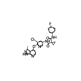 Cc1n[nH]c2nccc(Oc3ncc(NC(=O)C4(C(=O)Nc5ccc(F)cc5)CC4)cc3Cl)c12